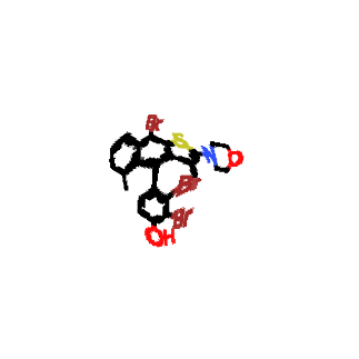 Cc1cccc2c(Br)c3sc(N4CCOCC4)c(C)c3c(-c3ccc(O)c(Br)c3Br)c12